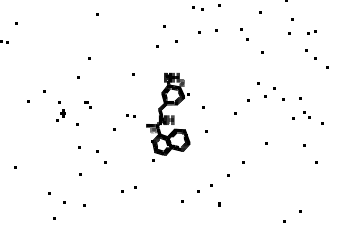 C[C@@H](NCc1cccc(N)c1)c1cccc2ccccc12